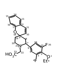 CCOc1c(F)cc(C2CC3(C=Cc4ccccc4O3)CCN2CC(=O)O)cc1F